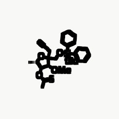 C#CC[C@]1(CO[Si](c2ccccc2)(c2ccccc2)C(C)(C)C)O[C@@H](C)[C@H](OC(C)=S)[C@@H]1OC